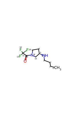 CCCCN[C@@H]1CCN(C(=O)C(F)(F)F)C1